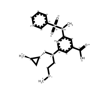 COCCN(C[C@@H]1C[C@H]1C)c1cc(C(=O)O)cc(N(C)S(=O)(=O)c2cccnc2)n1